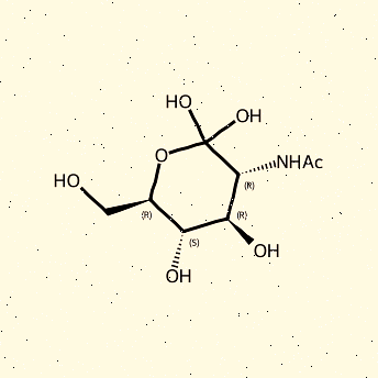 CC(=O)N[C@@H]1[C@@H](O)[C@H](O)[C@@H](CO)OC1(O)O